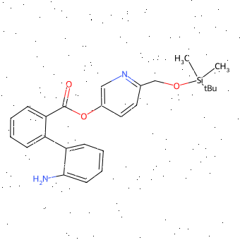 CC(C)(C)[Si](C)(C)OCc1ccc(OC(=O)c2ccccc2-c2ccccc2N)cn1